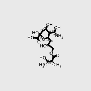 C[C@H](O)[C@@H](C)C(=O)OC[C@@H](O)CC1OC(O)(C(=O)O)CC(O)C1[C@@H](N)O